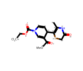 COC(=O)C1=CN(C(=O)OCC(Cl)(Cl)Cl)C=CC1C1=C(C)NC(=O)CS1